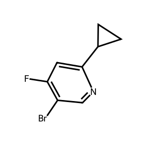 Fc1cc(C2CC2)ncc1Br